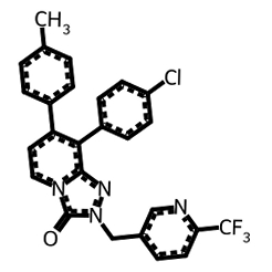 Cc1ccc(-c2ccn3c(=O)n(Cc4ccc(C(F)(F)F)nc4)nc3c2-c2ccc(Cl)cc2)cc1